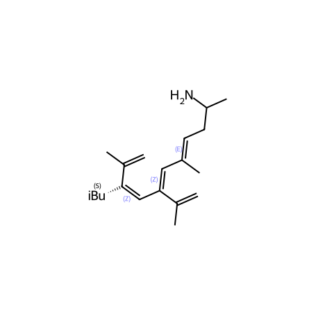 C=C(C)C(=C\C(C)=C\CC(C)N)/C=C(\C(=C)C)[C@@H](C)CC